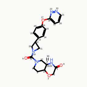 O=C1COC2CCN(C(=O)N3CC(c4ccc(Oc5cccnn5)cc4)C3)C[C@H]2N1